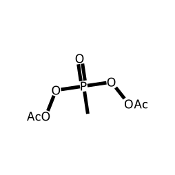 CC(=O)OOP(C)(=O)OOC(C)=O